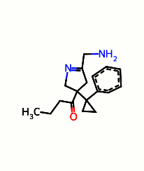 CCCC(=O)C1(C2(c3ccccc3)CC2)CN=C(CN)C1